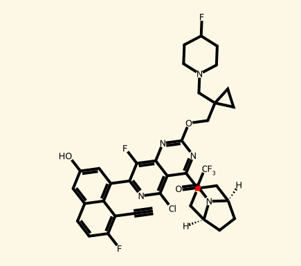 C#Cc1c(F)ccc2cc(O)cc(-c3nc(Cl)c4c(N5C[C@H]6CC[C@@H](C5)N6C(=O)C(F)(F)F)nc(OCC5(CN6CCC(F)CC6)CC5)nc4c3F)c12